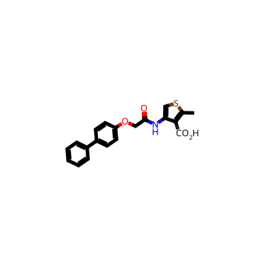 Cc1scc(NC(=O)COc2ccc(-c3ccccc3)cc2)c1C(=O)O